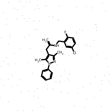 C=C(Cc1c(C)nn(-c2ccccc2)c1C)NCc1cc(Cl)ccc1F